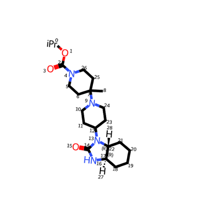 CC(C)OC(=O)N1CCC(C)(N2CCC(N3C(=O)N[C@@H]4CCCC[C@H]43)CC2)CC1